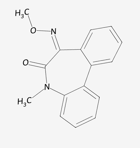 CON=c1c(=O)n(C)c2ccccc2c2ccccc12